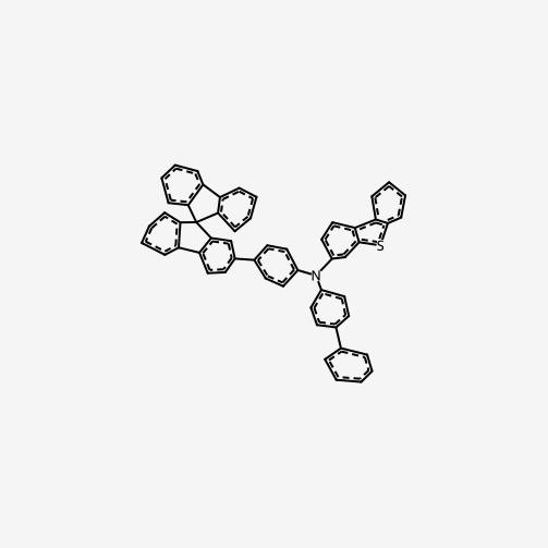 c1ccc(-c2ccc(N(c3ccc(-c4ccc5c(c4)C4(c6ccccc6-c6ccccc64)c4ccccc4-5)cc3)c3ccc4c(c3)sc3ccccc34)cc2)cc1